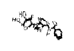 O=C(Nc1ncnc2c1ncn2[C@@H]1O[C@H](CO)[C@@H](O)[C@H]1F)c1ccccc1